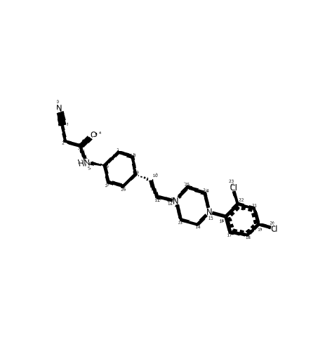 N#CCC(=O)N[C@H]1CC[C@H](CCN2CCN(c3ccc(Cl)cc3Cl)CC2)CC1